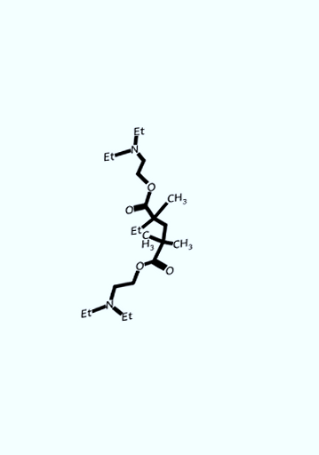 CCN(CC)CCOC(=O)C(C)(C)CC(C)(CC)C(=O)OCCN(CC)CC